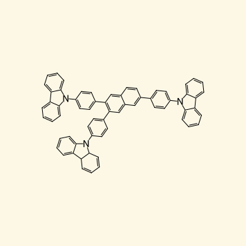 C1=CC2c3ccccc3N(c3ccc(-c4cc5cc(-c6ccc(-n7c8ccccc8c8ccccc87)cc6)ccc5cc4-c4ccc(-n5c6ccccc6c6ccccc65)cc4)cc3)C2C=C1